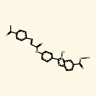 CC(=O)c1ccc(/C=C/C(=O)Nc2ccc(-c3nc4ccc(C(=O)OS)cc4n3O)cc2)cc1